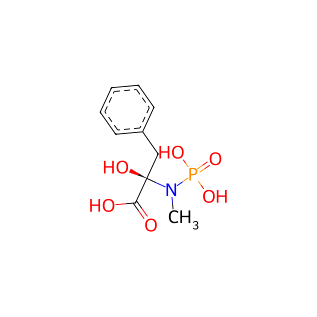 CN([C@@](O)(Cc1ccccc1)C(=O)O)P(=O)(O)O